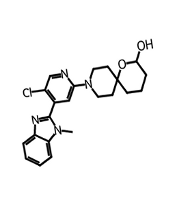 Cn1c(-c2cc(N3CCC4(CCCC(O)O4)CC3)ncc2Cl)nc2ccccc21